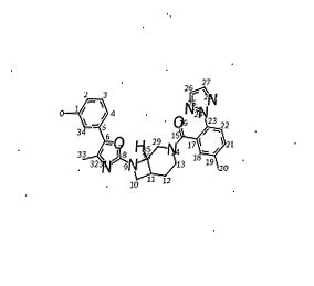 Cc1cccc(-c2oc(N3CC4CCN(C(=O)c5cc(C)ccc5-n5nccn5)C[C@H]43)nc2C)c1